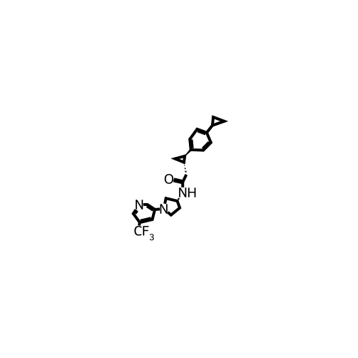 O=C(C[C@@H]1C[C@H]1c1ccc(C2CC2)cc1)N[C@@H]1CCN(c2cncc(C(F)(F)F)c2)C1